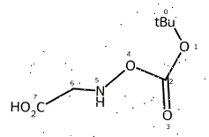 CC(C)(C)OC(=O)ONCC(=O)O